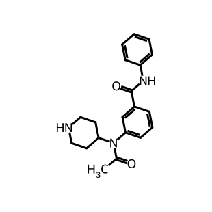 CC(=O)N(c1cccc(C(=O)Nc2ccccc2)c1)C1CCNCC1